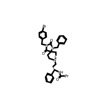 CC(C)C(=O)N[C@@H](CCN1CCC2(CC1)C(=O)N(Cc1ccc(Br)cc1)C(=O)N2Cc1ccccc1)c1ccccc1